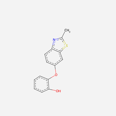 Cc1nc2ccc(Oc3ccccc3O)cc2s1